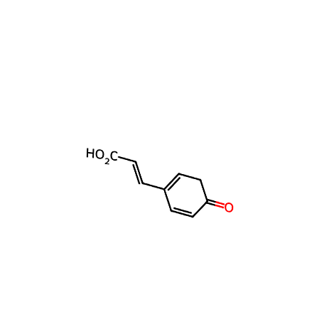 O=C(O)C=CC1=CCC(=O)C=C1